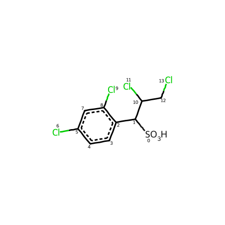 O=S(=O)(O)C(c1ccc(Cl)cc1Cl)C(Cl)CCl